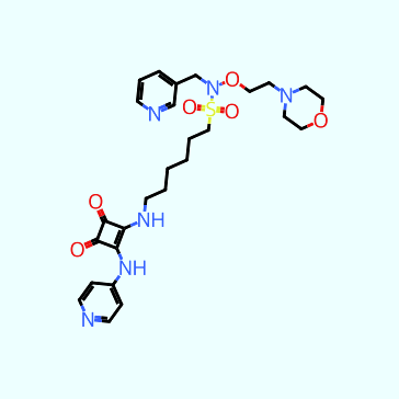 O=c1c(NCCCCCCS(=O)(=O)N(Cc2cccnc2)OCCN2CCOCC2)c(Nc2ccncc2)c1=O